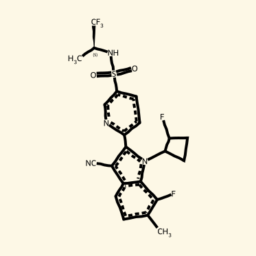 Cc1ccc2c(C#N)c(-c3ccc(S(=O)(=O)N[C@@H](C)C(F)(F)F)cn3)n(C3CCC3F)c2c1F